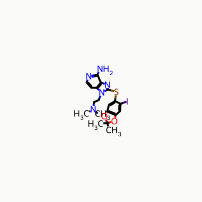 CN(C)CCn1c(Sc2cc3c(cc2I)OC(C)(C)O3)nc2c(N)nccc21